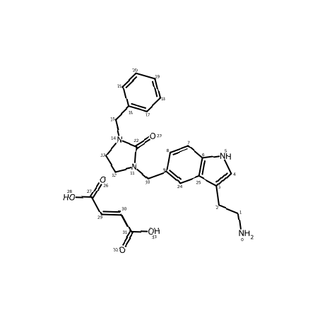 NCCc1c[nH]c2ccc(CN3CCN(Cc4ccccc4)C3=O)cc12.O=C(O)C=CC(=O)O